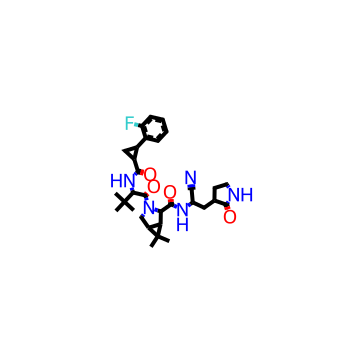 CC(C)(C)C(NC(=O)C1CC1c1ccccc1F)C(=O)N1CC2C(C1C(=O)NC(C#N)CC1CCNC1=O)C2(C)C